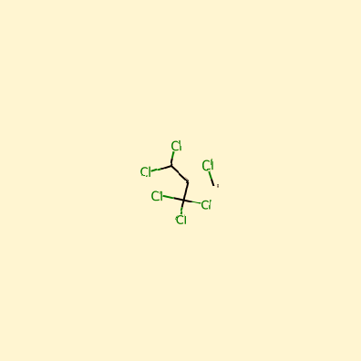 ClC(Cl)CC(Cl)(Cl)Cl.[CH]Cl